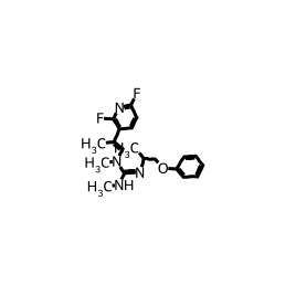 CN/C(=N/C(C)COc1ccccc1)N(C)/C=C(\C)c1ccc(F)nc1F